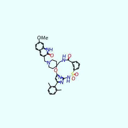 COc1ccc2cc(CN3CCC4(CC3)CNC(=O)c3cccc(c3)S(=O)(=O)Nc3nc(cc(-c5c(C)cccc5C)n3)O4)c(=O)[nH]c2c1